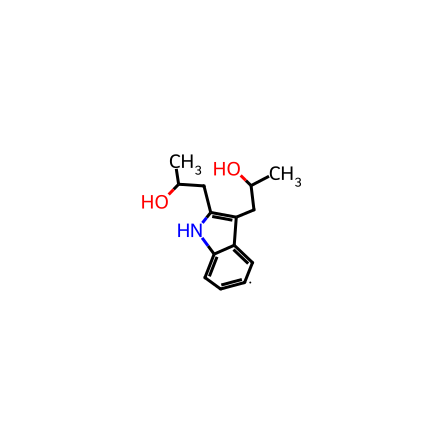 CC(O)Cc1[nH]c2cc[c]cc2c1CC(C)O